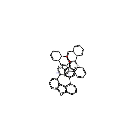 N/N=C(\N=C(/C1=CC2C=CC=CC2C=C1)C1C=CC=CC1)c1cccc2oc3cccc(-c4ccc5c6c(oc5c4)C4C=CC=CC4C=C6)c3c12